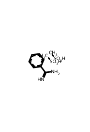 CS(=O)(=O)O.CS(=O)(=O)O.N=C(N)c1ccccc1